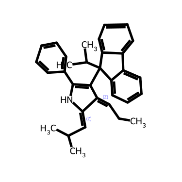 CC/C=c1/c(C2(C(C)C)c3ccccc3-c3ccccc32)c(-c2ccccc2)[nH]/c1=C\C(C)C